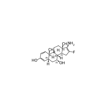 C[C@]12C=CC(O)=C[C@H]1C[C@H](O)[C@@H]1[C@@H]2CC[C@]2(C)C(N)=C(F)C[C@@H]12